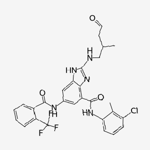 Cc1c(Cl)cccc1NC(=O)c1cc(NC(=O)c2ccccc2C(F)(F)F)cc2[nH]c(NCC(C)CC=O)nc12